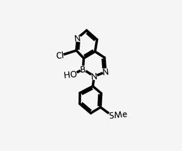 CSc1cccc(N2N=Cc3ccnc(Cl)c3B2O)c1